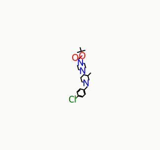 CC1CN(Cc2ccc(Cl)cc2)CCC1N1CCN(C(=O)OC(C)(C)C)CC1